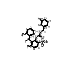 C[C@@H](c1ccccc1F)c1c(F)ccc2c1NC(NCc1cccc(F)c1)=NS2(=O)=O